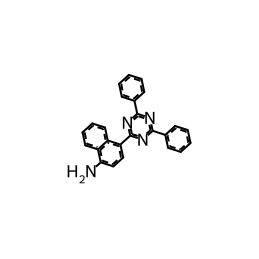 Nc1ccc(-c2nc(-c3ccccc3)nc(-c3ccccc3)n2)c2ccccc12